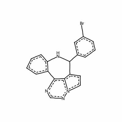 Brc1cccc(C2Nc3ccccc3-c3ncnn4ccc2c34)c1